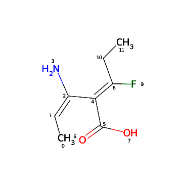 C/C=C(N)\C(C(=O)O)=C(\F)CC